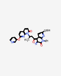 COc1ccc2c3c(CC(C)n4c(=O)ccc5ccc(Oc6cccnc6)nc54)onc3c(=O)n(C(C)C)c2n1